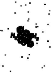 Cc1ccc(-c2ncccn2)c(C(=O)[C@]2(CN3C(=O)c4ccccc4C3=O)NCCC[C@H]2C)c1